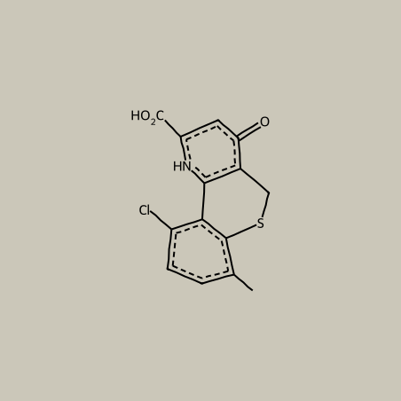 Cc1ccc(Cl)c2c1SCc1c-2[nH]c(C(=O)O)cc1=O